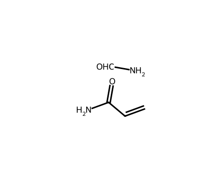 C=CC(N)=O.NC=O